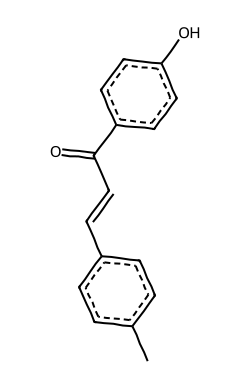 Cc1ccc(C=CC(=O)c2ccc(O)cc2)cc1